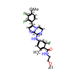 CCOCCNC(=O)c1c(C)cc(Nc2nccn3c(-c4ccc(OC)c(F)c4F)cnc23)cc1F